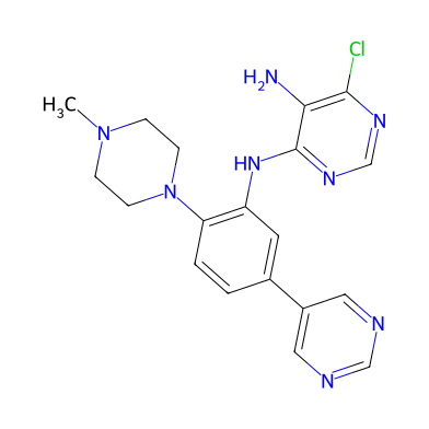 CN1CCN(c2ccc(-c3cncnc3)cc2Nc2ncnc(Cl)c2N)CC1